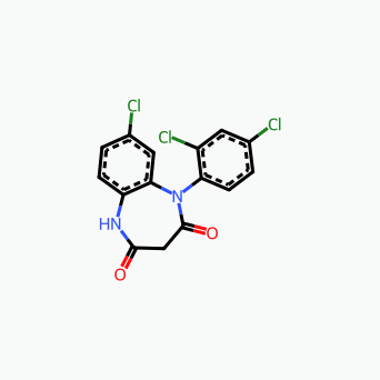 O=C1CC(=O)N(c2ccc(Cl)cc2Cl)c2cc(Cl)ccc2N1